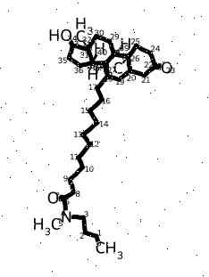 CCCCN(C)C(=O)CCCCCCCCCCC1CC2CC(=O)CC[C@]2(C)[C@@H]2CC[C@]3(C)C(O)CC[C@H]3[C@H]12